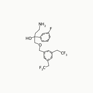 NCCC(O)(COCc1cc(CC(F)(F)F)cc(CC(F)(F)F)c1)c1cccc(F)c1